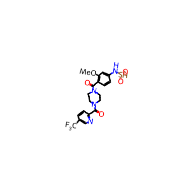 COc1cc(N[SH](=O)=O)ccc1C(=O)N1CCN(C(=O)c2ccc(C(F)(F)F)cn2)CC1